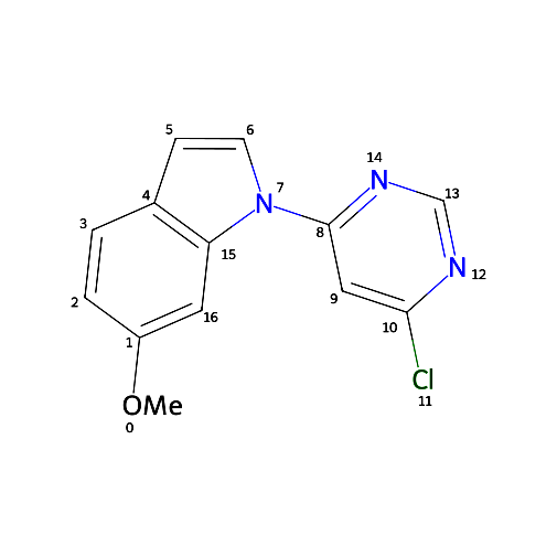 COc1ccc2ccn(-c3cc(Cl)ncn3)c2c1